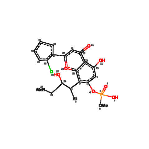 CCC(c1c(OP(=O)(O)OC)cc(O)c2c(=O)cc(-c3ccccc3Cl)oc12)C(O)CNC